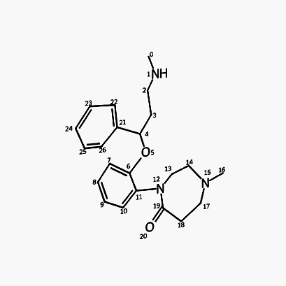 CNCCC(Oc1ccccc1N1CCN(C)CCC1=O)c1ccccc1